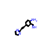 N=Cc1cc(C#Cc2ncccn2)ccc1N